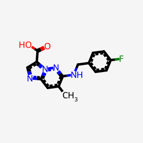 Cc1cc2ncc(C(=O)O)n2nc1NCc1ccc(F)cc1